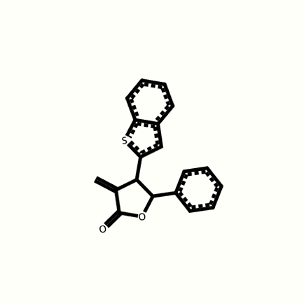 C=C1C(=O)OC(c2ccccc2)C1c1cc2ccccc2s1